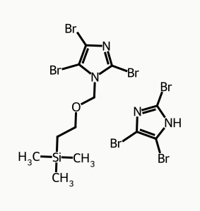 Brc1nc(Br)c(Br)[nH]1.C[Si](C)(C)CCOCn1c(Br)nc(Br)c1Br